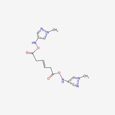 Cn1cc(NOC(=O)CC=CCC(=O)ONc2cnn(C)c2)cn1